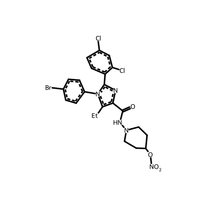 CCc1c(C(=O)NN2CCC(O[N+](=O)[O-])CC2)nc(-c2ccc(Cl)cc2Cl)n1-c1ccc(Br)cc1